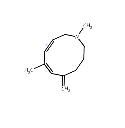 C=C1/C=C(C)\C=C/CN(C)CCC1